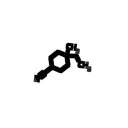 CCC1(C)CCC(C#N)CC1